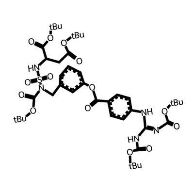 CC(C)(C)OC(=O)CC(NS(=O)(=O)N(Cc1cccc(OC(=O)c2ccc(NC(=NC(=O)OC(C)(C)C)NC(=O)OC(C)(C)C)cc2)c1)C(=O)OC(C)(C)C)C(=O)OC(C)(C)C